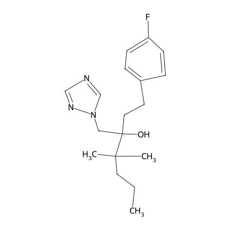 CCCC(C)(C)C(O)(CCc1ccc(F)cc1)Cn1cncn1